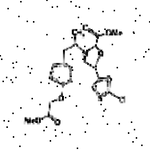 COC(=O)COc1ccc(CC(C)N2CC(c3csc(Cl)n3)OC2C(=O)OC)cc1